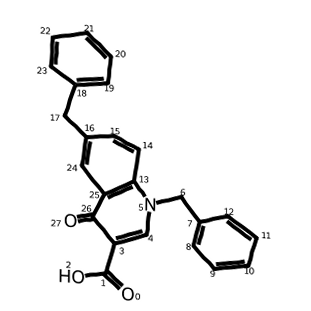 O=C(O)c1cn(Cc2ccccc2)c2ccc(Cc3ccccc3)cc2c1=O